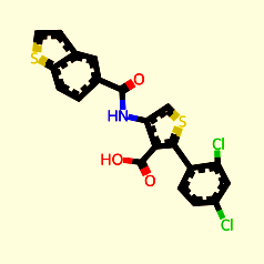 O=C(Nc1csc(-c2ccc(Cl)cc2Cl)c1C(=O)O)c1ccc2sccc2c1